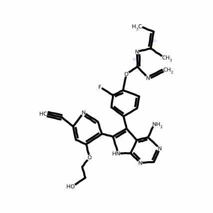 C#Cc1cc(OCCO)c(-c2[nH]c3ncnc(N)c3c2-c2ccc(O/C(N=C)=N/C(C)=C\C)c(F)c2)cn1